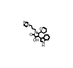 O=C1C(O)=C(c2c[nH]c3ccccc23)C(C2CCC=CO2)N1CCCn1ccnc1